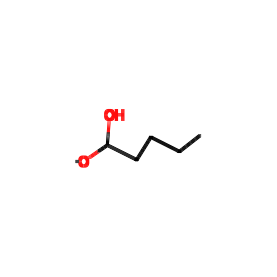 CCCCC([O])O